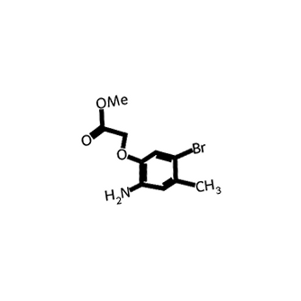 COC(=O)COc1cc(Br)c(C)cc1N